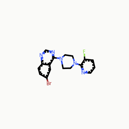 Fc1cccnc1N1CCN(c2ncnc3ccc(Br)cc23)CC1